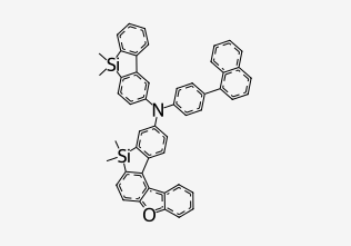 C[Si]1(C)c2ccccc2-c2cc(N(c3ccc(-c4cccc5ccccc45)cc3)c3ccc4c(c3)[Si](C)(C)c3ccc5oc6ccccc6c5c3-4)ccc21